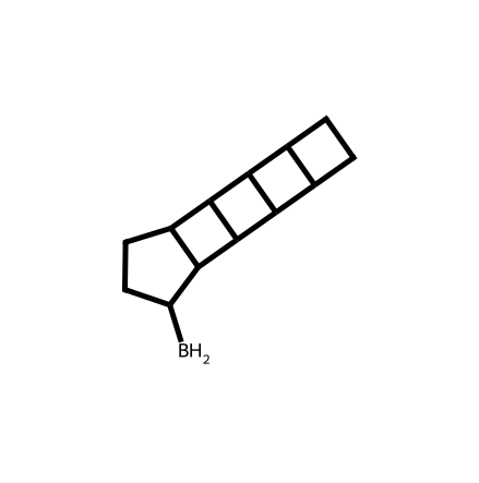 BC1CCC2C1C1C3C4CCC4C3C21